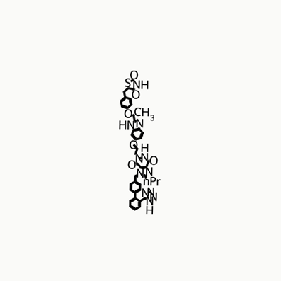 CCCc1nc2c(=O)[nH]n(CCOc3ccc4nc(C(C)Oc5ccc(CC6SC(=O)NC6=O)cc5)[nH]c4c3)c(=O)c2n1Cc1ccc(-c2ccccc2-c2nnn[nH]2)cc1